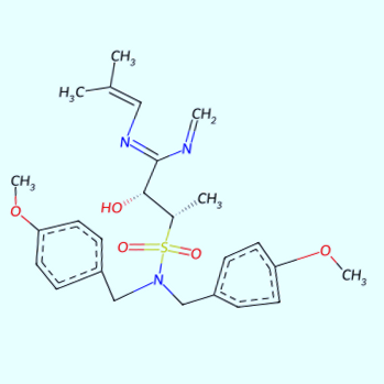 C=N/C(=N\C=C(C)C)[C@@H](O)[C@H](C)S(=O)(=O)N(Cc1ccc(OC)cc1)Cc1ccc(OC)cc1